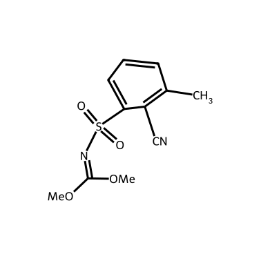 COC(=NS(=O)(=O)c1cccc(C)c1C#N)OC